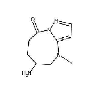 CN1CC(N)CCC(=O)n2nccc21